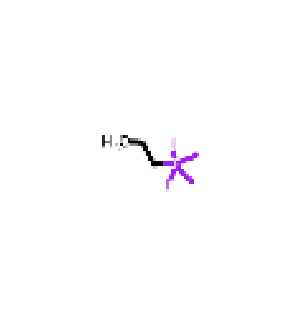 CCCI(I)(I)(I)I